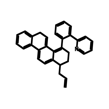 C=CCC1CCC(c2ccccc2-c2ccccn2)=c2c1ccc1c2=CCc2ccccc2-1